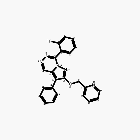 Fc1ccccc1-c1nncc2c(-c3ccccc3)c(OCc3ccccn3)nn12